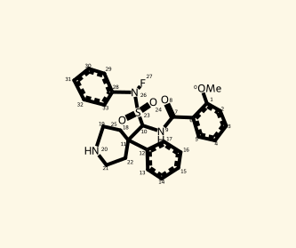 COc1ccccc1C(=O)NC(C1(c2ccccc2)CCNCC1)S(=O)(=O)N(F)c1ccccc1